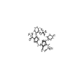 NC(=O)c1nc(Cn2nc(-c3ccc(Cl)cc3)n(CC(O)F)c2=O)nn1-c1ccccc1OC(F)(F)F